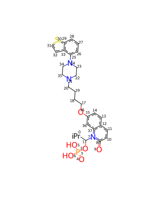 CC(C)C(OP(=O)(O)O)n1c(=O)ccc2ccc(OCCCCN3CCN(c4cccc5sccc45)CC3)cc21